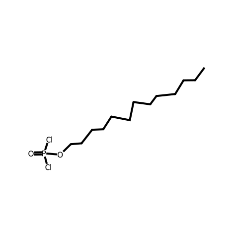 CCCCCCCCCCCCCOP(=O)(Cl)Cl